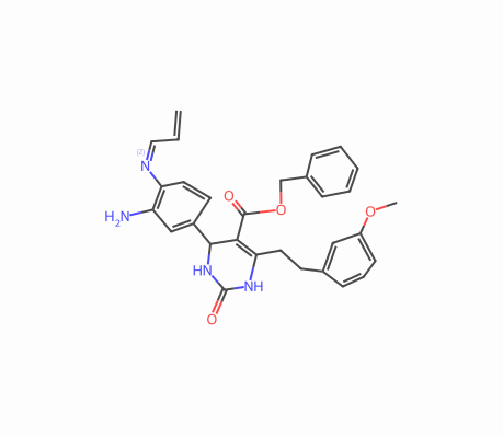 C=C/C=N\c1ccc(C2NC(=O)NC(CCc3cccc(OC)c3)=C2C(=O)OCc2ccccc2)cc1N